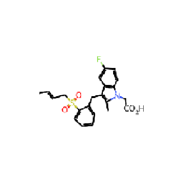 CC=CCS(=O)(=O)c1ccccc1Cc1c(C)n(CC(=O)O)c2ccc(F)cc12